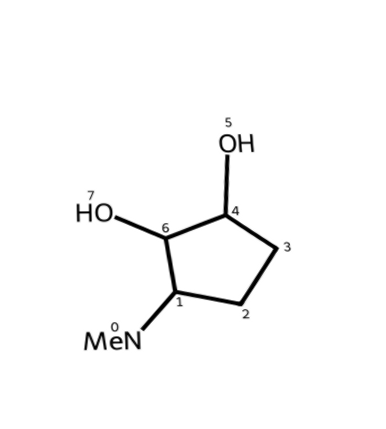 CNC1CCC(O)C1O